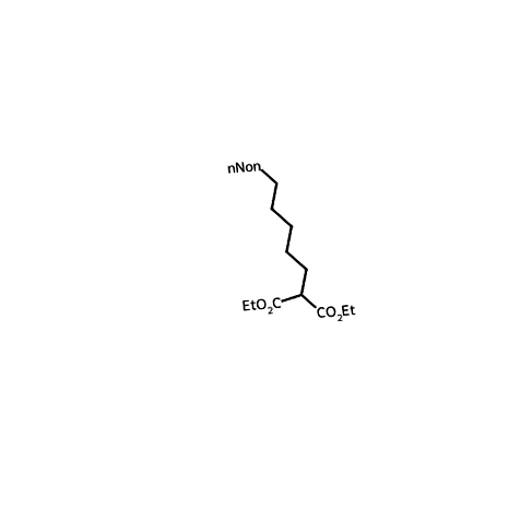 CCCCCCCCCCCCCCC(C(=O)OCC)C(=O)OCC